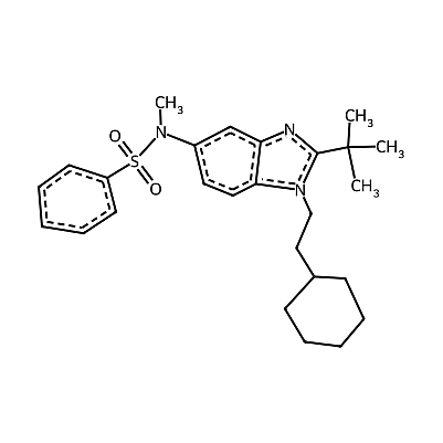 CN(c1ccc2c(c1)nc(C(C)(C)C)n2CCC1CCCCC1)S(=O)(=O)c1ccccc1